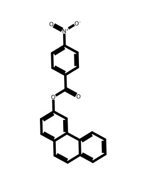 O=C(Oc1ccc2ccc3ccccc3c2c1)c1ccc([N+](=O)[O-])cc1